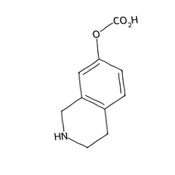 O=C(O)Oc1ccc2c(c1)CNCC2